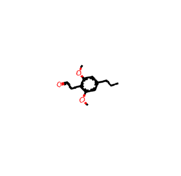 CCCc1cc(OC)c(CC=O)c(OC)c1